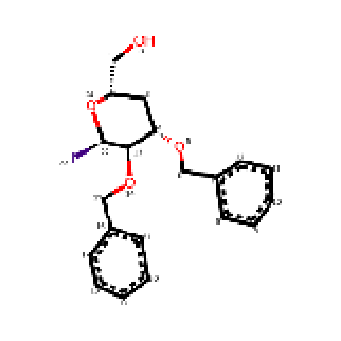 OC[C@@H]1C[C@H](OCc2ccccc2)[C@@H](OCc2ccccc2)[C@@H](I)O1